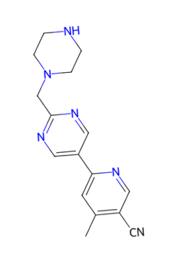 Cc1cc(-c2cnc(CN3CCNCC3)nc2)ncc1C#N